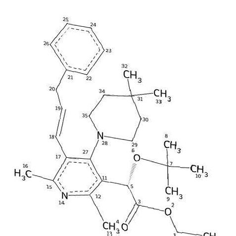 CCOC(=O)[C@@H](OC(C)(C)C)c1c(C)nc(C)c(/C=C/Cc2ccccc2)c1N1CCC(C)(C)CC1